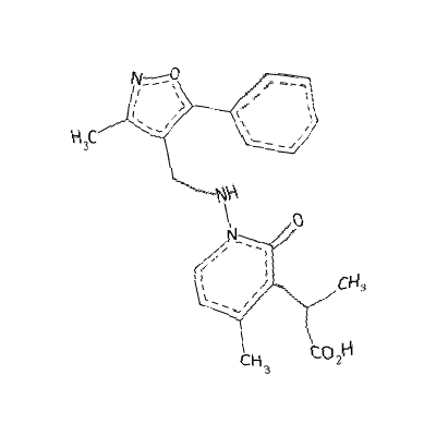 Cc1ccn(NCc2c(C)noc2-c2ccccc2)c(=O)c1C(C)C(=O)O